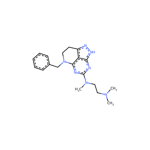 CN(C)CCN(C)c1nc2c3c(n[nH]c3n1)CCN2Cc1ccccc1